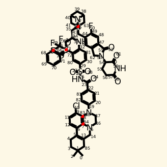 CC1(C)CCC(c2ccc(Cl)cc2)=C(CN2CCN(c3ccc(C(=O)NS(=O)(=O)c4ccc(N[C@H](CCN5C6CC5CN(Cc5cc7c(cc5F)C(=O)N(C5CCC(=O)NC5=O)C7)C6)CSc5ccccc5)c(S(=O)(=O)C(F)(F)F)c4)cc3)CC2)C1